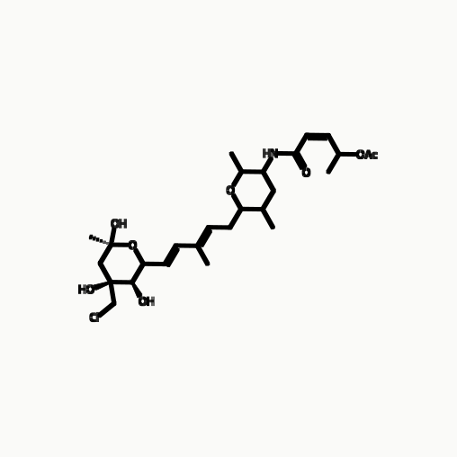 CC(=O)OC(C)/C=C\C(=O)NC1CC(C)C(C/C=C(C)/C=C/C2O[C@](C)(O)C[C@@](O)(CCl)[C@@H]2O)OC1C